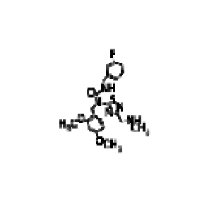 CNCc1nsc(N(Cc2ccc(OC)cc2OC)C(=O)NCc2cccc(F)c2)n1